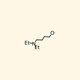 CCN(CC)CCCC[O]